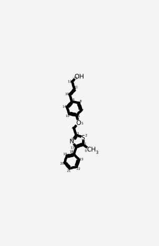 Cc1sc(COc2ccc(/C=C/CO)cc2)nc1-c1ccccc1